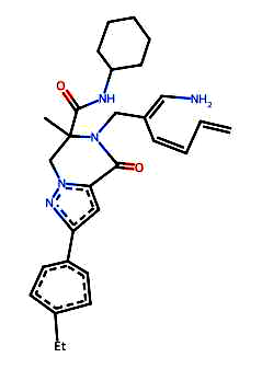 C=C/C=C\C(=C/N)CN1C(=O)c2cc(-c3ccc(CC)cc3)nn2CC1(C)C(=O)NC1CCCCC1